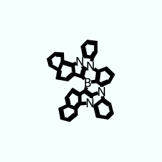 c1cc2c3c(c1)-n1c4ccccc4n4c5c(ccc6ccccc65)c(c14)B3c1c3ccc4ccccc4c3n3c4ccccc4n-2c13